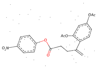 C=C(CCC(=O)Oc1ccc([N+](=O)[O-])cc1)c1ccc(OC(C)=O)cc1OC(C)=O